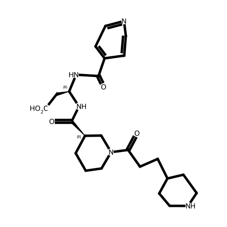 O=C(O)C[C@@H](NC(=O)c1ccncc1)NC(=O)[C@@H]1CCCN(C(=O)CCC2CCNCC2)C1